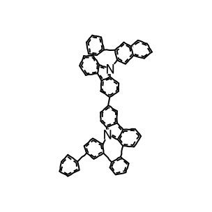 c1ccc(-c2ccc3c(c2)-c2ccccc2-c2cccc4c5cc(-c6ccc7c(c6)c6ccccc6n7-c6cc7ccccc7cc6-c6ccccc6)ccc5n-3c24)cc1